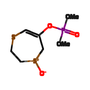 COP(=O)(OC)OC1=CSCC[S+]([O-])C1